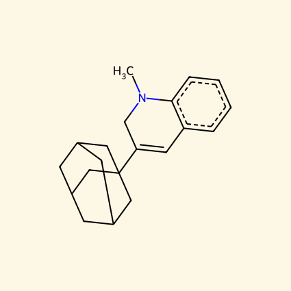 CN1CC(C23CC4CC(CC(C4)C2)C3)=Cc2ccccc21